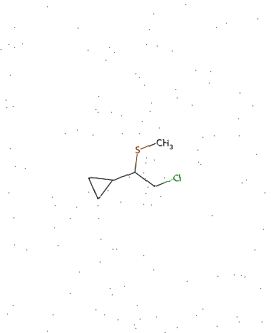 CSC(CCl)C1CC1